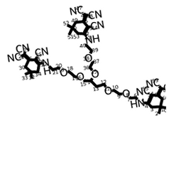 CC1(C)CC(NCCOCCOCCC(COCCOCCNC2=C(C#N)C(=C(C#N)C#N)CC(C)(C)C2)OCCOCCNC2=C(C#N)C(=C(C#N)C#N)CC(C)(C)C2)=C(C#N)C(=C(C#N)C#N)C1